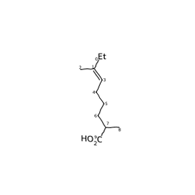 CCC(C)=CCCCC(C)C(=O)O